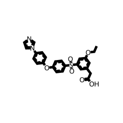 CCOc1cc(CC(=O)O)cc(S(=O)(=O)c2ccc(Oc3ccc(-n4ccnc4)cc3)cc2)c1